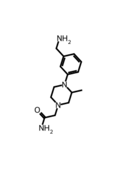 CC1CN(CC(N)=O)CCN1c1cccc(CN)c1